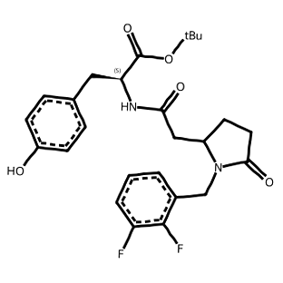 CC(C)(C)OC(=O)[C@H](Cc1ccc(O)cc1)NC(=O)CC1CCC(=O)N1Cc1cccc(F)c1F